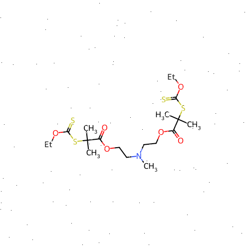 CCOC(=S)SC(C)(C)C(=O)OCCN(C)CCOC(=O)C(C)(C)SC(=S)OCC